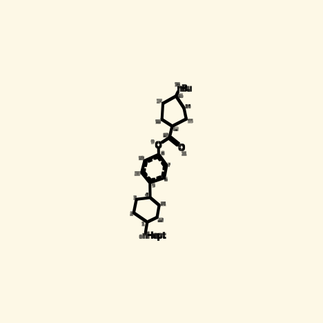 CCCCCCCC1CCC(c2ccc(OC(=O)C3CCC(CCCC)CC3)cc2)CC1